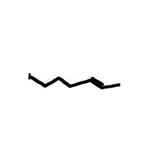 C/C=C/CCCI